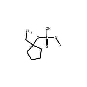 CCC1(OP(=O)(O)OF)CCCC1